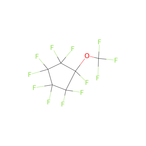 FC(F)(F)OC1(F)C(F)(F)C(F)(F)C(F)(F)C1(F)F